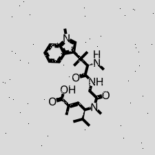 CN[C@H](C(=O)NCC(=O)N(C)[C@H](/C=C(\C)C(=O)O)C(C)C)C(C)(C)c1cn(C)c2ccccc12